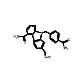 COCc1c[c]c2c3c(C(N)=O)cccc3n(Cc3ccc(C(N)=O)cc3)c2c1